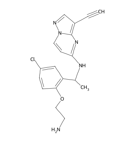 C#Cc1cnn2ccc(NC(C)c3cc(Cl)ccc3OCCN)nc12